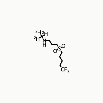 [2H]C([2H])([2H])NCCCS(=O)(=O)CCCCC(F)(F)F